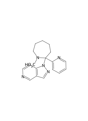 O=C(O)N1CCCCCC1(c1ccccn1)n1ncc2cnccc21